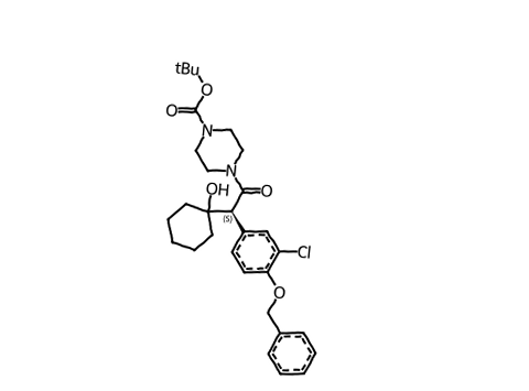 CC(C)(C)OC(=O)N1CCN(C(=O)[C@@H](c2ccc(OCc3ccccc3)c(Cl)c2)C2(O)CCCCC2)CC1